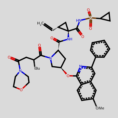 C=C[C@@H]1C[C@]1(NC(=O)[C@@H]1C[C@@H](Oc2nc(-c3ccccc3)cc3cc(OC)ccc23)CN1C(=O)C(CC(=O)N1CCOCC1)C(C)(C)C)C(=O)NS(=O)(=O)C1CC1